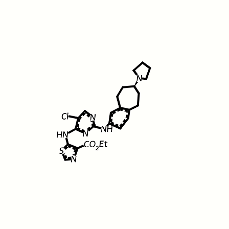 CCOC(=O)c1ncsc1Nc1nc(Nc2ccc3c(c2)CC[C@@H](N2CCCC2)CC3)ncc1Cl